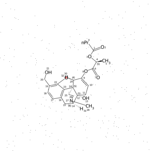 CCCC(=O)O[C@@H](C)C(=O)OC1=CC[C@@]2(O)[C@H]3Cc4ccc(CO)c5c4[C@@]2(CCN3C)[C@H]1O5